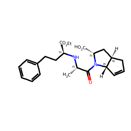 CCOC(=O)[C@H](CCc1ccccc1)N[C@@H](C)C(=O)N1[C@H](C(=O)O)C[C@H]2CC=C[C@@H]21